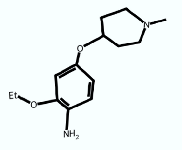 CCOc1cc(OC2CCN(C)CC2)ccc1N